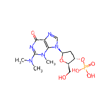 CN(C)c1nc(=O)c2ncn([C@H]3C[C@H](OP(=O)(O)O)[C@@H](CO)O3)c2n1C